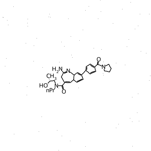 CCCN(C[C@@H](C)O)C(=O)C1=CC2C=CC(c3ccc(C(=O)N4CCCC4)cc3)=CC2N=C(N)C1